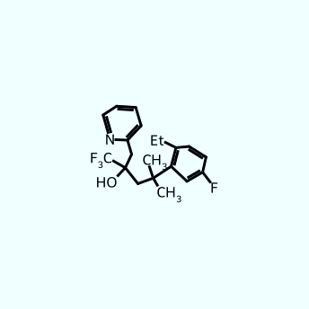 CCc1ccc(F)cc1C(C)(C)CC(O)(Cc1ccccn1)C(F)(F)F